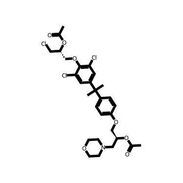 CC(=O)O[C@H](COc1ccc(C(C)(C)c2cc(Cl)c(OC[C@H](CCl)OC(C)=O)c(Cl)c2)cc1)CN1CCOCC1